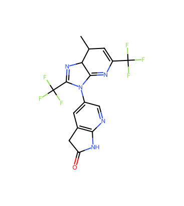 CC1C=C(C(F)(F)F)N=C2C1N=C(C(F)(F)F)N2c1cnc2c(c1)CC(=O)N2